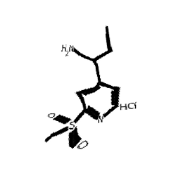 CCC(N)c1ccnc(S(C)(=O)=O)c1.Cl